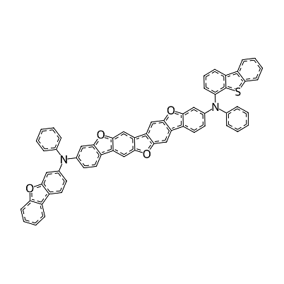 c1ccc(N(c2ccc3c(c2)oc2ccccc23)c2ccc3c(c2)oc2cc4c(cc23)oc2cc3c(cc24)oc2cc(N(c4ccccc4)c4cccc5c4sc4ccccc45)ccc23)cc1